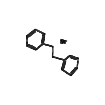 [Sc].c1ccc(CCc2ccccc2)cc1